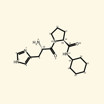 N[C@@H](Cc1c[nH]cn1)C(=O)N1CCC[C@H]1C(=O)NC1CCCCC1